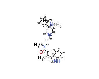 CC(CC(=O)N(C)CCCN1CCC(c2ccccc2)(N(C)C)CC1)c1c[nH]c2ccccc12